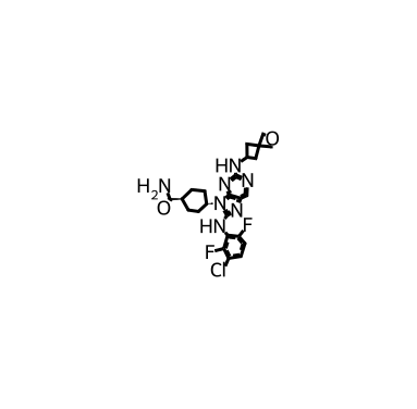 NC(=O)[C@H]1CC[C@H](n2c(Nc3c(F)ccc(Cl)c3F)nc3cnc(NC4CC5(COC5)C4)nc32)CC1